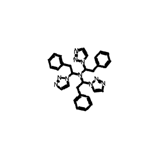 c1ccc(CC(N(C(Cc2ccccc2)n2ccnn2)C(Cc2ccccc2)n2ccnn2)n2ccnn2)cc1